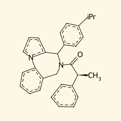 CC(C)c1ccc(C2c3cccn3-c3ccccc3CN2C(=O)[C@@H](C)c2ccccc2)cc1